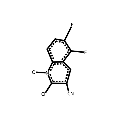 N#Cc1cc2c(F)c(F)ccc2[n+]([O-])c1Cl